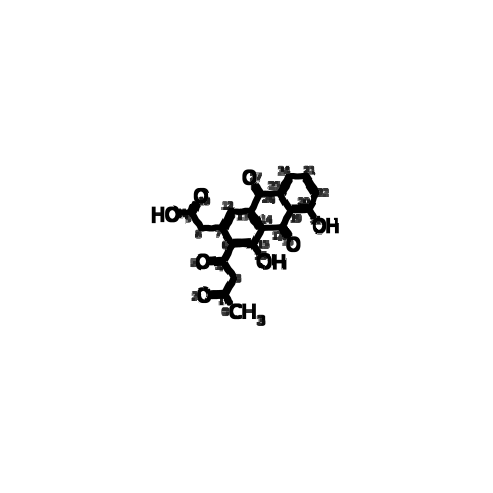 CC(=O)CC(=O)c1c(CC(=O)O)cc2c(c1O)C(=O)c1c(O)cccc1C2=O